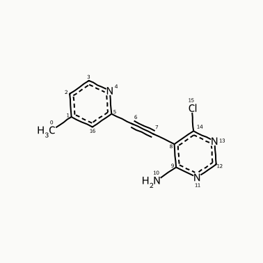 Cc1ccnc(C#Cc2c(N)ncnc2Cl)c1